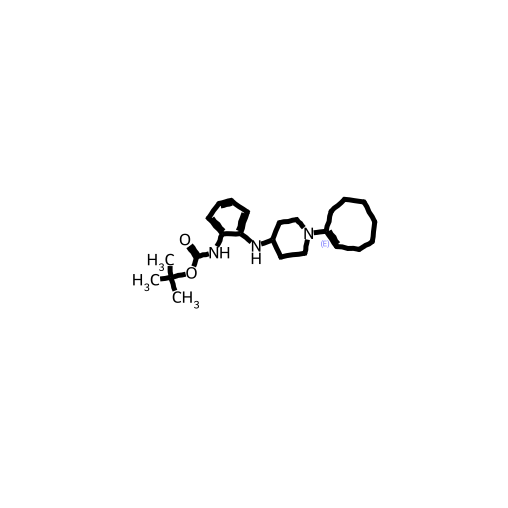 CC(C)(C)OC(=O)Nc1ccccc1NC1CCN(/C2=C/CCCCCC2)CC1